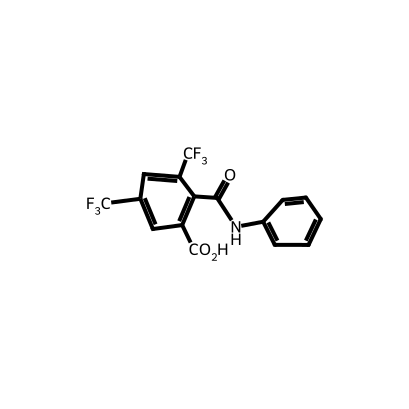 O=C(O)c1cc(C(F)(F)F)cc(C(F)(F)F)c1C(=O)Nc1ccccc1